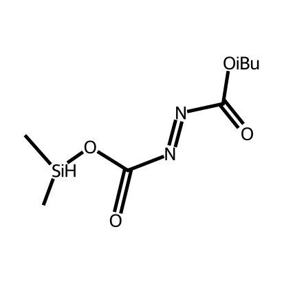 CC(C)COC(=O)N=NC(=O)O[SiH](C)C